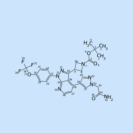 CC(C)(C)OC(=O)N1CC(c2nn(-c3ccc(OC(F)(F)F)cc3)c3nccc(-c4cnn(CC(N)=O)c4)c23)C1